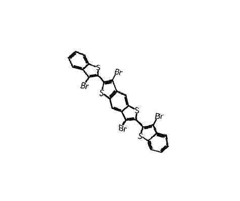 Brc1c(-c2sc3cc4c(Br)c(-c5sc6ccccc6c5Br)sc4cc3c2Br)sc2ccccc12